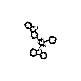 c1ccc(-c2nc(-c3ccc4c(c3)oc3ccccc34)nc(-n3c4ccccc4c4ccccc43)n2)cc1